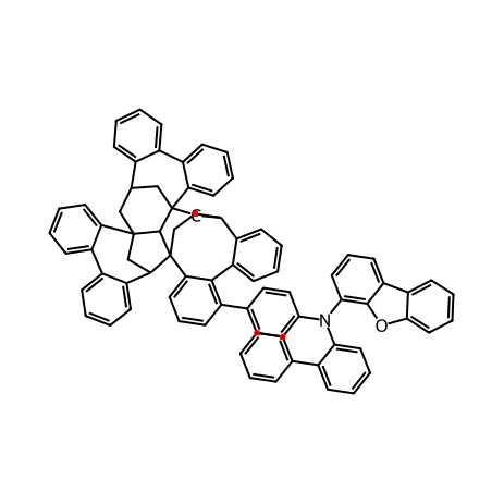 c1ccc(-c2ccccc2N(c2ccc(-c3cccc4c3-c3ccccc3C3CCC45C4CC6(CC7CC(C3)(c3ccccc3-c3ccccc37)C65)c3ccccc3-c3ccccc34)cc2)c2cccc3c2oc2ccccc23)cc1